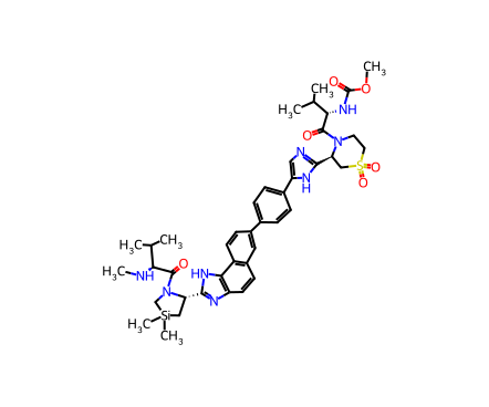 CN[C@H](C(=O)N1C[Si](C)(C)C[C@H]1c1nc2ccc3cc(-c4ccc(-c5cnc([C@@H]6CS(=O)(=O)CCN6C(=O)[C@@H](NC(=O)OC)C(C)C)[nH]5)cc4)ccc3c2[nH]1)C(C)C